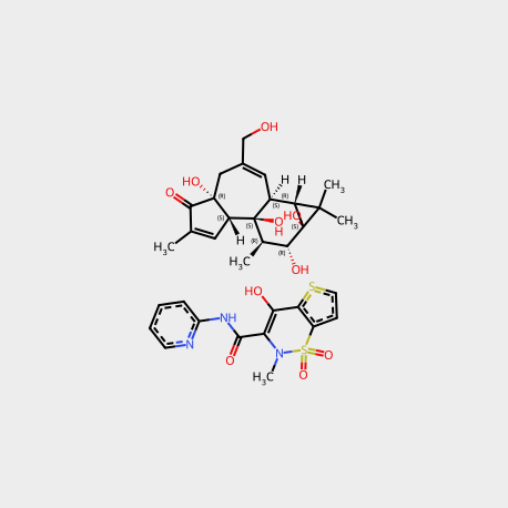 CC1=C[C@H]2[C@@]3(O)[C@H](C)[C@@H](O)[C@]4(O)[C@H]([C@@H]3C=C(CO)C[C@]2(O)C1=O)C4(C)C.CN1C(C(=O)Nc2ccccn2)=C(O)c2sccc2S1(=O)=O